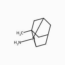 CC12CC3CC(CC(C3)N1N)C2